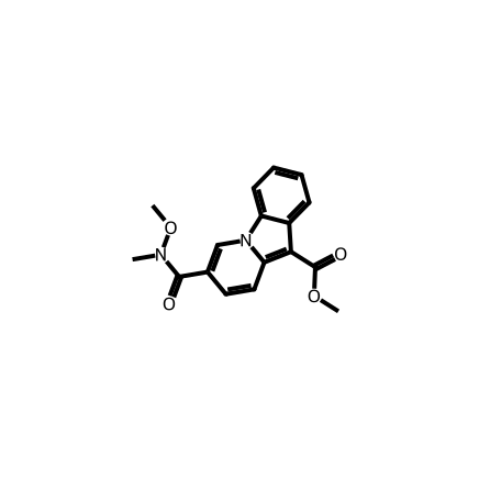 COC(=O)c1c2ccccc2n2cc(C(=O)N(C)OC)ccc12